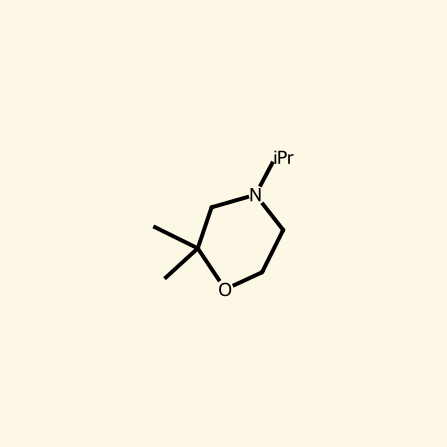 CC(C)N1CCOC(C)(C)C1